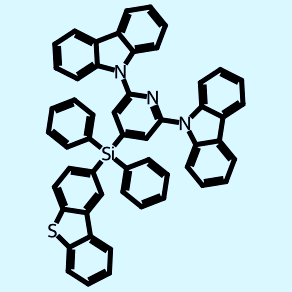 c1ccc([Si](c2ccccc2)(c2cc(-n3c4ccccc4c4ccccc43)nc(-n3c4ccccc4c4ccccc43)c2)c2ccc3sc4ccccc4c3c2)cc1